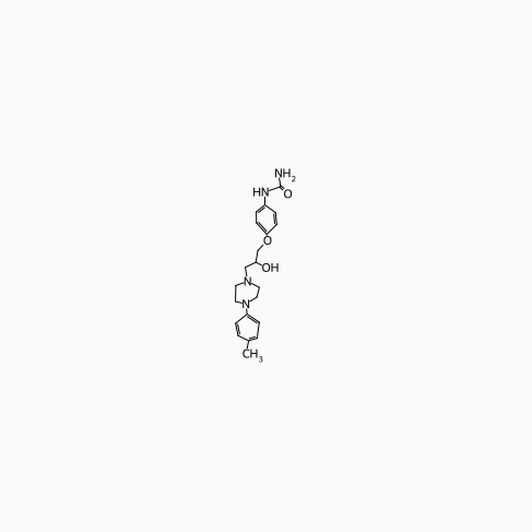 Cc1ccc(N2CCN(CC(O)COc3ccc(NC(N)=O)cc3)CC2)cc1